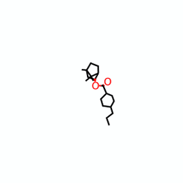 CCCC1CCC(C(=O)OC2CC3(C)CCC2C3(C)C)CC1